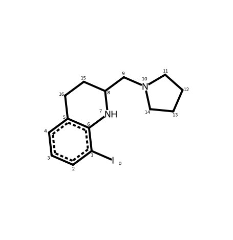 Ic1cccc2c1NC(CN1CCCC1)CC2